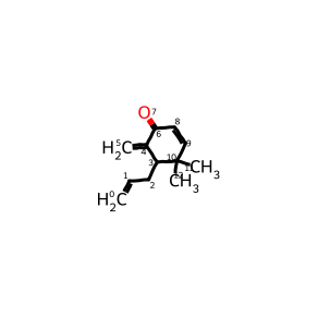 C=CCC1C(=C)C(=O)C=CC1(C)C